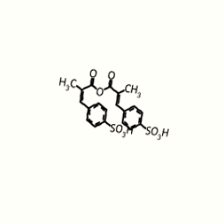 CC(=Cc1ccc(S(=O)(=O)O)cc1)C(=O)OC(=O)C(C)=Cc1ccc(S(=O)(=O)O)cc1